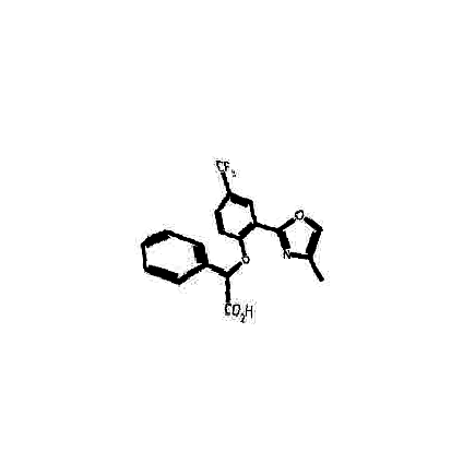 Cc1coc(-c2cc(C(F)(F)F)ccc2OC(C(=O)O)c2ccccc2)n1